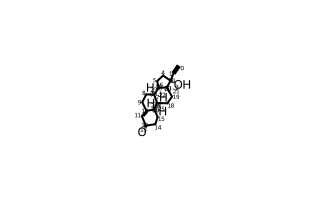 C#C[C@]1(O)CC[C@@H]2[C@@H]3CCC4=CC(=O)CC[C@@H]4[C@@H]3CC[C@@]21C